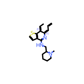 C=C/C=c1/nc(NCC2CCCCN2C)c2ccsc2/c1=C/C